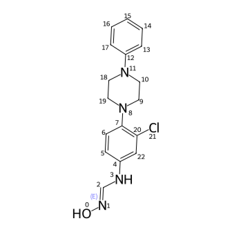 O/N=C/Nc1ccc(N2CCN(c3ccccc3)CC2)c(Cl)c1